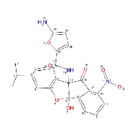 CC(C)c1ccc2c(c1)OC1(O)c3cccc([N+](=O)[O-])c3C(=O)C21NC(=O)c1ccc(N)o1